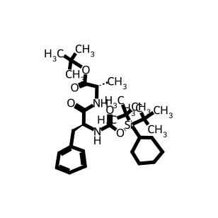 C[C@H](NC(=O)[C@H](Cc1ccccc1)NC(=O)O[Si](C1CCCCC1)(C(C)(C)C)C(C)(C)C)C(=O)OC(C)(C)C